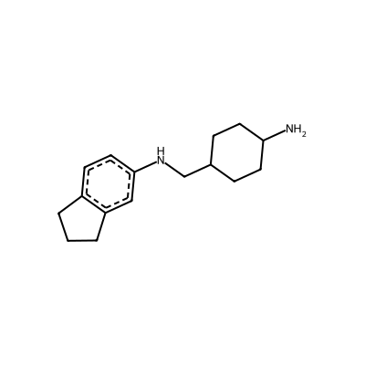 NC1CCC(CNc2ccc3c(c2)CCC3)CC1